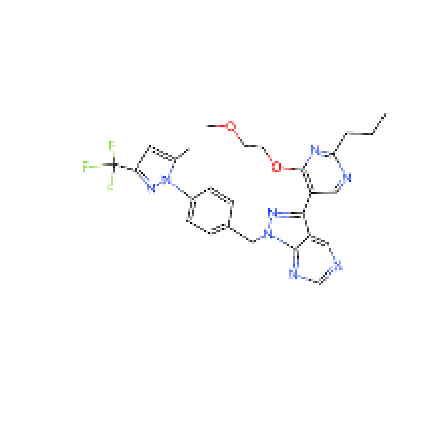 CCCc1ncc(-c2nn(Cc3ccc(-n4nc(C(F)(F)F)cc4C)cc3)c3ncncc23)c(OCCOC)n1